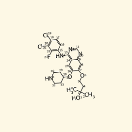 CC(C)(O)CCOc1cc2ncnc(Nc3ccc(Cl)c(Cl)c3F)c2cc1OC1CCNCC1